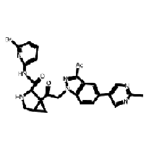 CC(=O)c1nn(CC(=O)C23CC2CNC3C(=O)Nc2cccc(Br)n2)c2ccc(-c3cnc(C)nc3)cc12